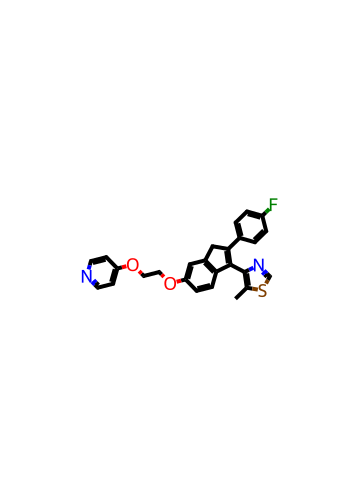 Cc1scnc1C1=C(c2ccc(F)cc2)Cc2cc(OCCOc3ccncc3)ccc21